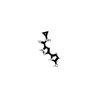 O=C(NC1CC1)c1cc(-c2ccc(Cl)s2)on1